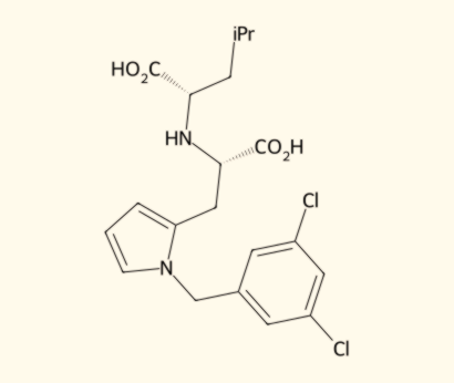 CC(C)C[C@H](N[C@@H](Cc1cccn1Cc1cc(Cl)cc(Cl)c1)C(=O)O)C(=O)O